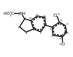 O=C(O)NC1CCc2cc(-c3cc(Cl)ccc3Cl)ccc21